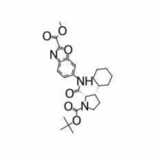 COC(=O)c1nc2ccc(NC(=O)[C@@H]3[C@H](C4CCCCC4)CCN3C(=O)OC(C)(C)C)cc2o1